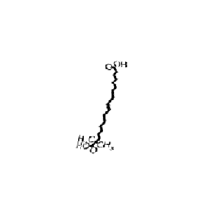 CC(C)(CCCCCCC=CCCCCCCCC(=O)O)C(=O)O